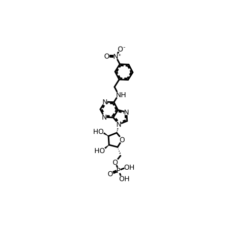 O=[N+]([O-])c1cccc(CNc2ncnc3c2ncn3[C@@H]2O[C@H](COP(=O)(O)O)[C@@H](O)[C@H]2O)c1